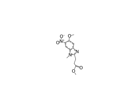 COC(=O)CCc1nc2cc(OC)c([N+](=O)[O-])cc2n1C